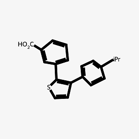 CC(C)c1ccc(-c2ccsc2-c2cccc(C(=O)O)c2)cc1